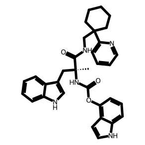 C[C@@](Cc1c[nH]c2ccccc12)(NC(=O)Oc1cccc2[nH]ccc12)C(=O)NCC1(c2ccccn2)CCCCC1